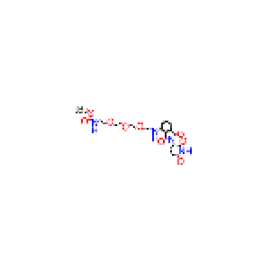 CC(C)(C)OC(=O)NCCOCCOCCOCCNc1cccc2c1C(=O)N(C1CCC(=O)NC1=O)C2=O